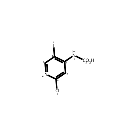 O=C(O)Nc1cc(Cl)ncc1I